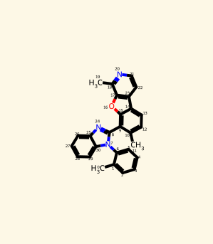 Cc1ccccc1-n1c(-c2c(C)ccc3c2oc2c(C)nccc23)nc2ccccc21